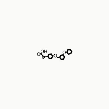 O=C(O)C1CC1c1ccc(OCc2cccc(Oc3ccccc3)c2)cc1